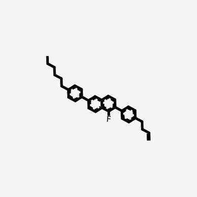 C=CCCc1ccc(-c2ccc3cc(-c4ccc(CCCCCC)cc4)ccc3c2F)cc1